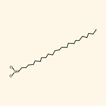 Cl[SiH](Cl)CCCCCCCCCCCCCCCCCCCCCCCI